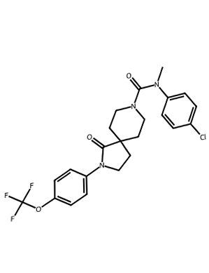 CN(C(=O)N1CCC2(CC1)CCN(c1ccc(OC(F)(F)F)cc1)C2=O)c1ccc(Cl)cc1